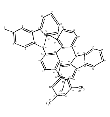 Cc1ccc2c(c1)c1ccccc1n2-c1ccc(-c2cc(C(F)(F)F)cc(C(F)(F)F)c2)cc1-c1c(C#N)cccc1-n1c2ccccc2c2cc(C)ccc21